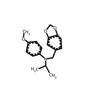 COc1ccc(N(Cc2ccc3c(c2)OCO3)C(C)C)cc1